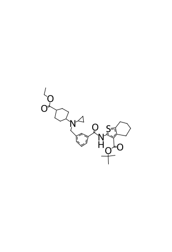 CCOC(=O)C1CCC(N(Cc2cccc(C(=O)Nc3sc4c(c3C(=O)OC(C)(C)C)CCCC4)c2)C2CC2)CC1